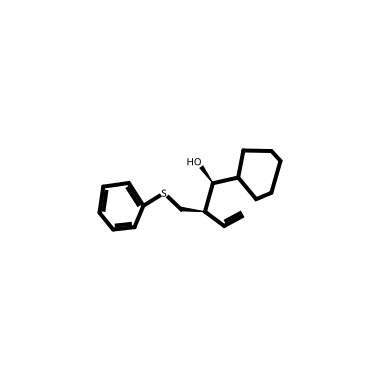 C=C[C@@H](CSc1ccccc1)[C@@H](O)C1CCCCC1